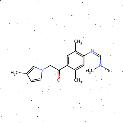 CCN(C)/C=N\c1cc(C)c(C(=O)Cn2ccc(C)c2)cc1C